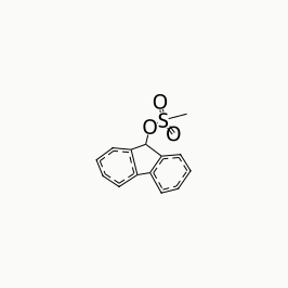 CS(=O)(=O)OC1c2ccccc2-c2ccccc21